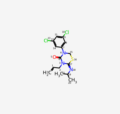 C=CCN1C(=O)N(c2cc(Cl)cc(Cl)c2)CSC1=NC(C)C